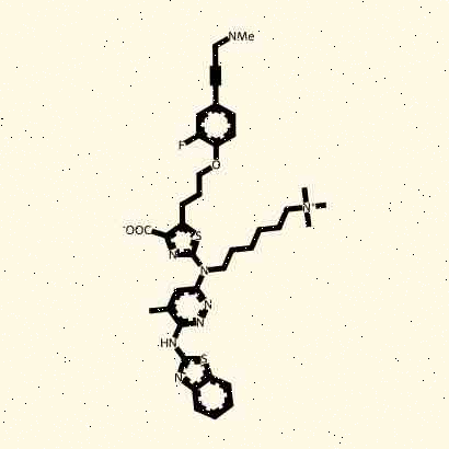 CNCC#Cc1ccc(OCCCc2sc(N(CCCCCC[N+](C)(C)C)c3cc(C)c(Nc4nc5ccccc5s4)nn3)nc2C(=O)[O-])c(F)c1